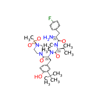 CC(C)[C@@H](C(=O)N(C)[C@@H](Cc1ccc(O)c(C(C)(C)C)c1)C(=O)N1CCN(S(C)(=O)=O)CC1)N(C)C(=O)[C@@H](N)Cc1ccc(F)cc1